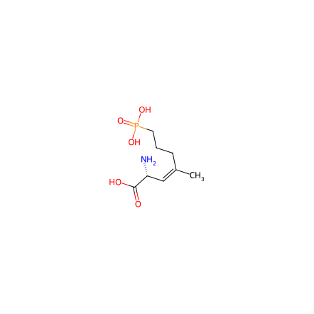 CC(=C[C@@H](N)C(=O)O)CCCP(=O)(O)O